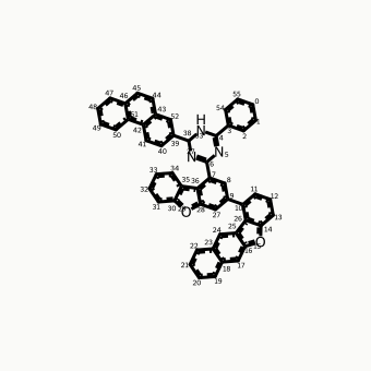 c1ccc(C2=NC(c3cc(-c4cccc5oc6cc7ccccc7cc6c45)cc4oc5ccccc5c34)=NC(c3ccc4c(ccc5ccccc54)c3)N2)cc1